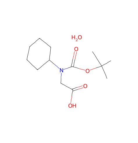 CC(C)(C)OC(=O)N(CC(=O)O)C1CCCCC1.O